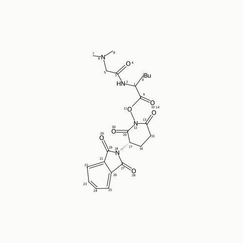 CCC(C)C(NC(=O)CN(C)C)C(=O)ON1C(=O)CC[C@H](N2C(=O)c3ccccc3C2=O)C1=O